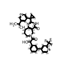 CC(C)c1cncc(C2(c3nc4c(c(=O)[nH]3)CN(C(=O)[C@H](O)c3cccc(-c5ccnc(C(F)(F)F)c5)c3)CCC4)CC2)c1